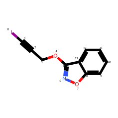 IC#CCOc1noc2ccccc12